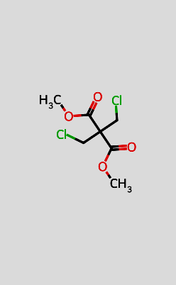 COC(=O)C(CCl)(CCl)C(=O)OC